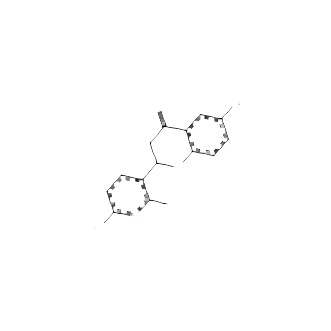 O=C1CC(c2ccc(O)nc2C(F)(F)F)Oc2ccc(Br)cc21